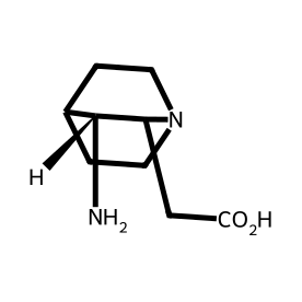 N[C@@H]1C2CCN(CC2)C1CC(=O)O